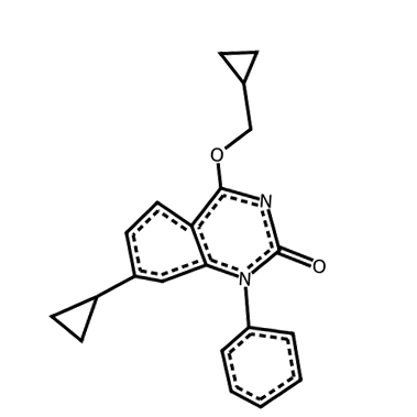 O=c1nc(OCC2CC2)c2ccc(C3CC3)cc2n1-c1ccccc1